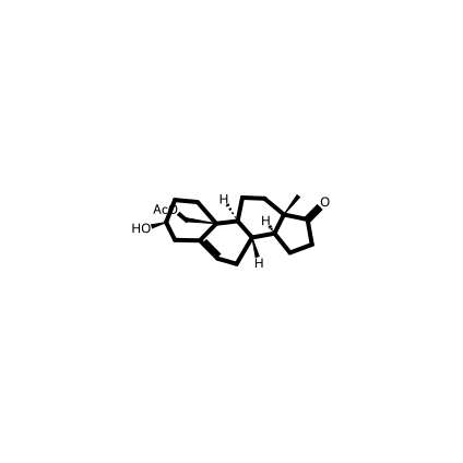 CC(=O)OC[C@]12CC[C@H](O)CC1=CC[C@@H]1[C@@H]2CC[C@]2(C)C(=O)CC[C@@H]12